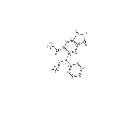 C=CC(c1ccccc1)c1cc2c(cc1OC)OCO2